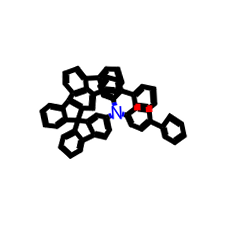 c1ccc(-c2ccc(N(c3ccc4c(c3)C3(c5ccccc5-4)c4ccccc4-c4c3cc3c5c(cccc45)-c4ccccc4-3)c3ccccc3-c3ccccc3)cc2)cc1